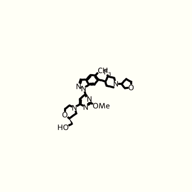 COc1nc(N2CCO[C@H](CO)C2)cc(-n2ncc3cc(C)c(C4CCN(C5CCOC5)CC4F)cc32)n1